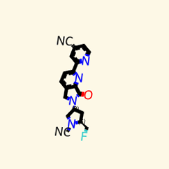 N#Cc1ccnc(-c2ccc3c(n2)C(=O)N([C@@H]2C[C@@H](CF)N(C#N)C2)C3)c1